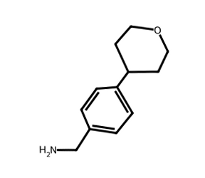 NCc1ccc(C2CCOCC2)cc1